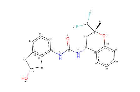 C[C@]1(C(F)F)C[C@@H](NC(=O)Nc2cccc3c2C[C@H](O)C3)c2ccccc2O1